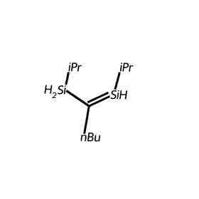 CCCCC(=[SiH]C(C)C)[SiH2]C(C)C